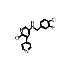 Fc1cc(CNc2cnc(Cl)c(-c3ccncc3)c2)ccc1Cl